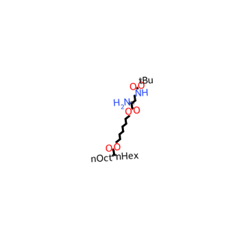 CCCCCCCCC(CCCCCC)C(=O)OCCCCCCCCOC(=O)[C@@H](N)CCNC(=O)OC(C)(C)C